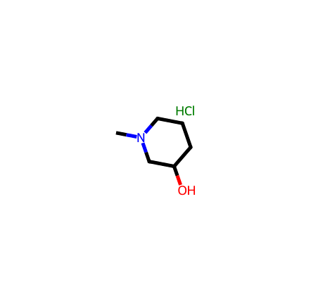 CN1CCCC(O)C1.Cl